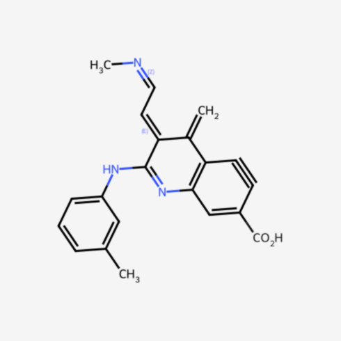 C=c1/c(=C\C=N/C)c(Nc2cccc(C)c2)nc2cc(C(=O)O)c#cc12